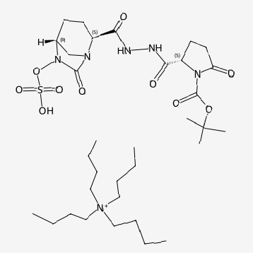 CC(C)(C)OC(=O)N1C(=O)CC[C@H]1C(=O)NNC(=O)[C@@H]1CC[C@@H]2CN1C(=O)N2OS(=O)(=O)O.CCCC[N+](CCCC)(CCCC)CCCC